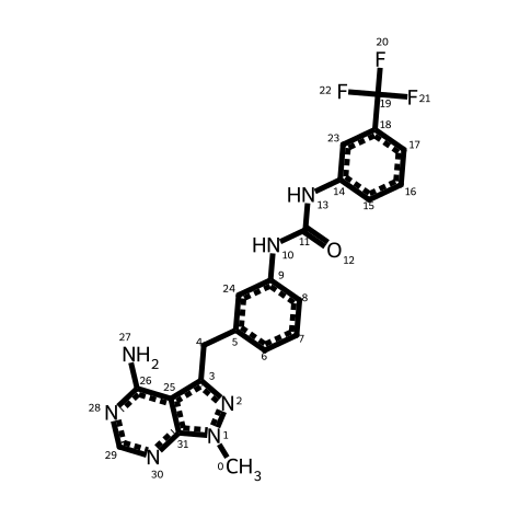 Cn1nc(Cc2cccc(NC(=O)Nc3cccc(C(F)(F)F)c3)c2)c2c(N)ncnc21